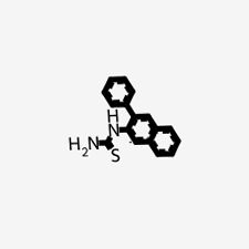 NC(=S)Nc1[c]c2ccccc2cc1-c1ccccc1